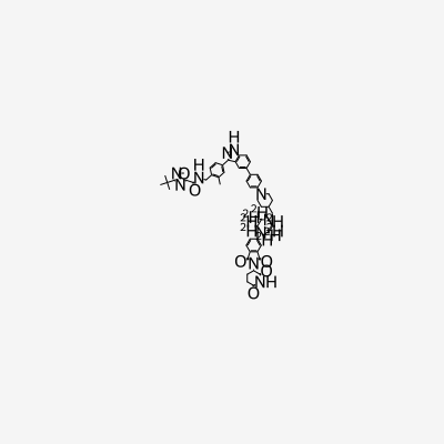 [2H]C1([2H])N(CC2CCN(c3ccc(-c4ccc5[nH]nc(-c6ccc(CNC(=O)c7nc(C(C)(C)C)no7)c(C)c6)c5c4)cc3)CC2)C([2H])([2H])C([2H])([2H])N(c2ccc3c(c2)C(=O)N(C2CCC(=O)NC2=O)C3=O)C1([2H])[2H]